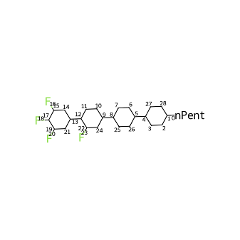 CCCCCC1CCC(C2CCC(C3CCC(C4CC(F)C(F)C(F)C4)C(F)C3)CC2)CC1